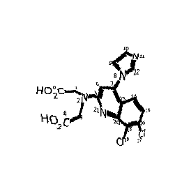 O=C(O)CN(CC(=O)O)c1cc(-n2ccnc2)c2ccc(Cl)c(Cl)c2n1